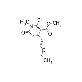 CCOC=Cc1cc(=O)n(C)c(Cl)c1C(=O)OC